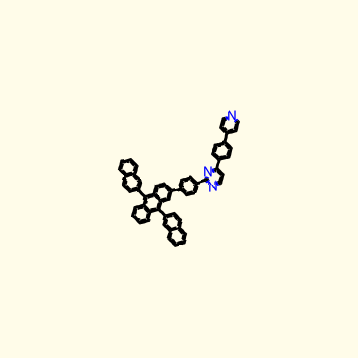 c1ccc2cc(-c3c4ccccc4c(-c4ccc5ccccc5c4)c4cc(-c5ccc(-c6nccc(-c7ccc(-c8ccncc8)cc7)n6)cc5)ccc34)ccc2c1